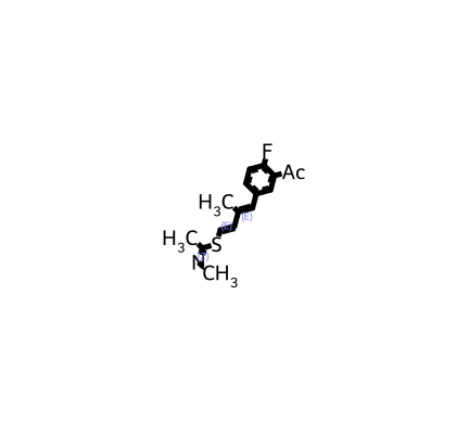 C/N=C(/C)S/C=C/C(C)=C/c1ccc(F)c(C(C)=O)c1